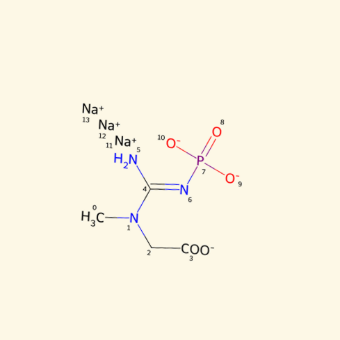 CN(CC(=O)[O-])C(N)=NP(=O)([O-])[O-].[Na+].[Na+].[Na+]